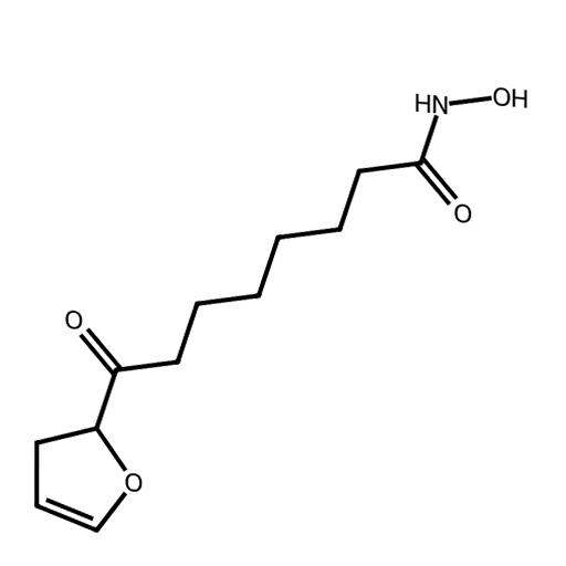 O=C(CCCCCCC(=O)C1CC=CO1)NO